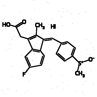 CC1=C(CC(=O)O)c2cc(F)ccc2/C1=C\c1ccc([S+](C)[O-])cc1.I